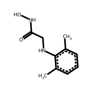 Cc1cccc(C)c1NCC(=O)NO